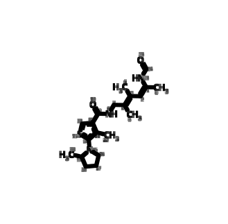 C/C(=C/C(C)=C(\C)CNC(=O)c1csc(N2CCCC2C)c1C)NC=O